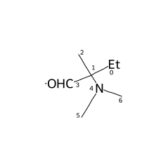 CCC(C)([C]=O)N(C)C